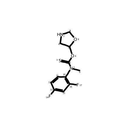 CN(C(=S)OC1CNCO1)c1ccc(F)cc1F